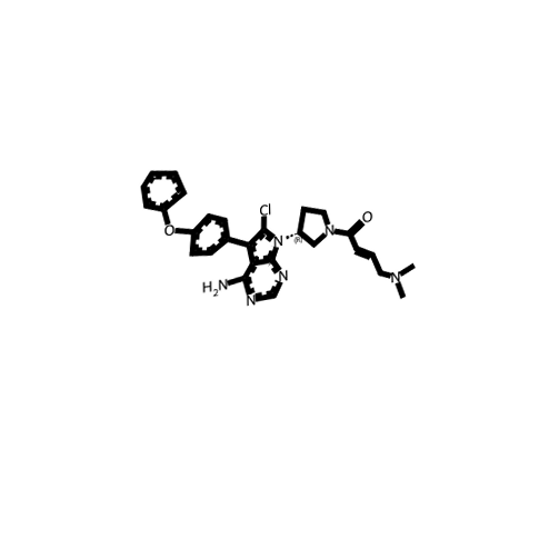 CN(C)CC=CC(=O)N1CC[C@@H](n2c(Cl)c(-c3ccc(Oc4ccccc4)cc3)c3c(N)ncnc32)C1